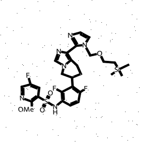 COc1ncc(F)cc1S(=O)(=O)Nc1ccc(F)c(C2CCc3c(-c4nccn4COCC[Si](C)(C)C)ncn3C2)c1F